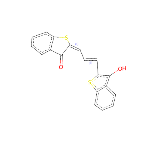 O=C1/C(=C\C=C\c2sc3ccccc3c2O)Sc2ccccc21